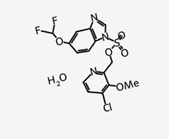 COc1c(Cl)ccnc1COS(=O)(=O)n1cnc2cc(OC(F)F)ccc21.O